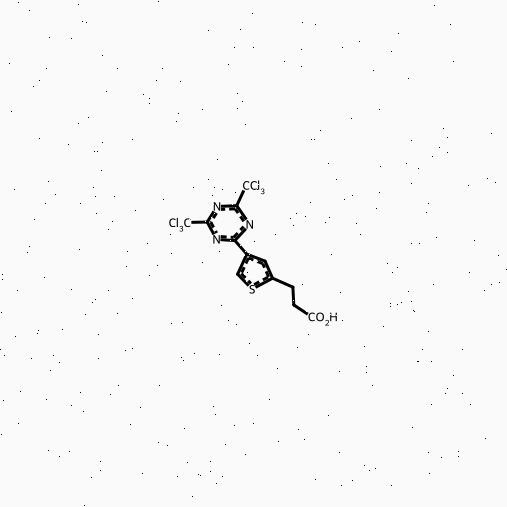 O=C(O)CCc1cc(-c2nc(C(Cl)(Cl)Cl)nc(C(Cl)(Cl)Cl)n2)cs1